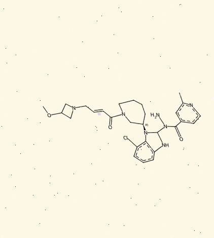 COC1CN(C/C=C/C(=O)N2CCCC[C@@H](N3c4c(Cl)cccc4NC3N(N)C(=O)c3ccnc(C)c3)C2)C1